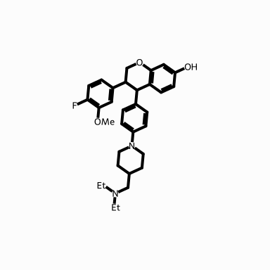 CCN(CC)CC1CCN(c2ccc(C3c4ccc(O)cc4OCC3c3ccc(F)c(OC)c3)cc2)CC1